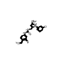 CC(C)(C)c1cc(CNC(=O)Nc2ccc(CN)c(F)c2)n(-c2cccc(Cl)c2)n1